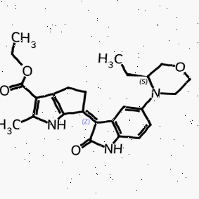 CCOC(=O)c1c(C)[nH]c2c1CC/C2=C1/C(=O)Nc2ccc(N3CCOC[C@@H]3CC)cc21